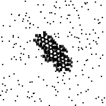 Bc1c(B)c(-c2c3c(B)c(B)c(B)c(B)c3c(-c3c(B)c(B)c4c(c3B)c(B)c(B)c3c(B)c(B)c(B)c(B)c34)c3c(B)c(B)c(B)c(B)c23)c(B)c(B)c1-c1c(B)c(B)c2c(B)c(B)c(B)c(B)c2c1B